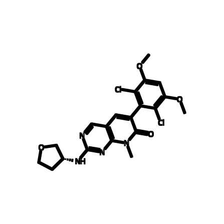 COc1cc(OC)c(Cl)c(-c2cc3cnc(N[C@@H]4CCOC4)nc3n(C)c2=O)c1Cl